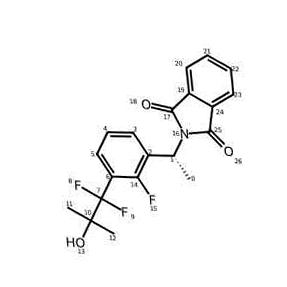 C[C@H](c1cccc(C(F)(F)C(C)(C)O)c1F)N1C(=O)c2ccccc2C1=O